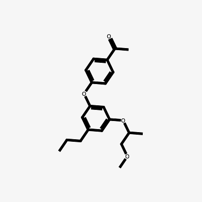 CCCc1cc(Oc2ccc(C(C)=O)cc2)cc(OC(C)COC)c1